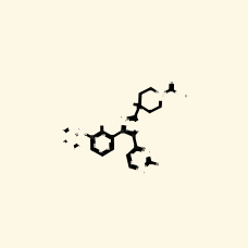 CCCS(=O)(=O)Nc1cccc(-c2nc(C3(C)CCN(C(=O)OCC(C)C)CC3)sc2-c2ccnc(Cl)n2)c1F